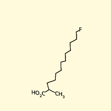 CC(CCCCCCCCCCCF)C(=O)O